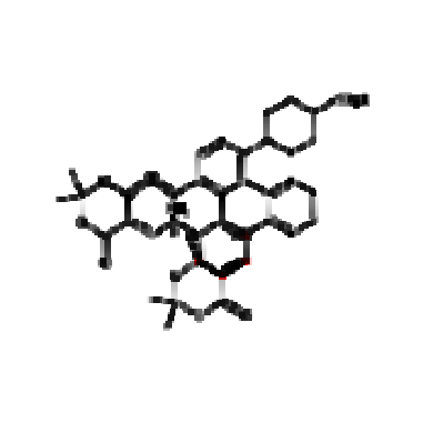 CCCCCCCC1CCC(c2ccc(C(N)=O)c(-c3ccccc3NC=C3C(=O)OC(C)(C)OC3=O)c2-c2ccccc2NC=C2C(=O)OC(C)(C)OC2=O)CC1